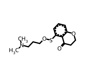 CN(C)CCCOSc1cccc2c1C(=O)CCO2